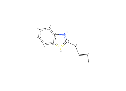 C/C=C/[CH]c1nc2ccccc2s1